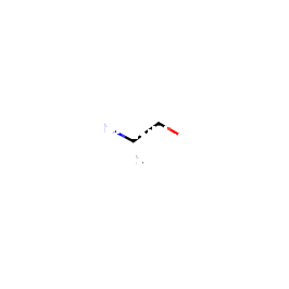 NCCO.[Ni]